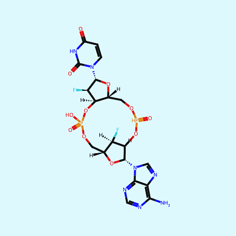 Nc1ncnc2c1ncn2[C@@H]1O[C@@H]2COP(=O)(O)O[C@H]3[C@@H](F)[C@H](n4ccc(=O)[nH]c4=O)O[C@@H]3CO[PH](=O)O[C@@H]1[C@@H]2F